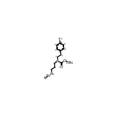 CC(C)(C)OC(=O)N(CCCN=[N+]=[N-])CCc1ccc(F)cc1